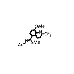 COc1ccc(/C(=N/CC(C)=O)SC)c2ccc(C(F)(F)F)nc12